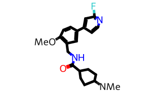 CNC1CCC(C(=O)NCc2cc(-c3ccnc(F)c3)ccc2OC)CC1